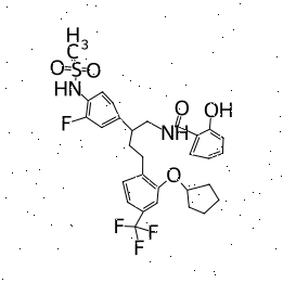 CS(=O)(=O)Nc1ccc(C(CCc2ccc(C(F)(F)F)cc2OC2CCCC2)CNC(=O)c2ccccc2O)cc1F